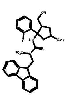 COC1CC(CO)C(NC(=S)N(CC2c3ccccc3-c3ccccc32)C(=O)O)(c2ccccc2F)C1